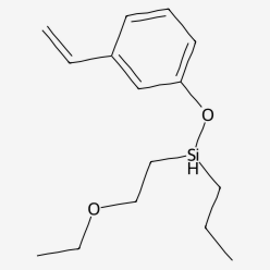 C=Cc1cccc(O[SiH](CCC)CCOCC)c1